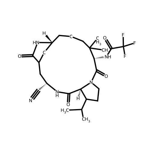 CC(C)C1CCN2C(=O)[C@@H](NC(=O)C(F)(F)F)C(C)(C)CCC[C@@H]3CC(C[C@@H](C#N)NC(=O)[C@H]12)C(=O)N3